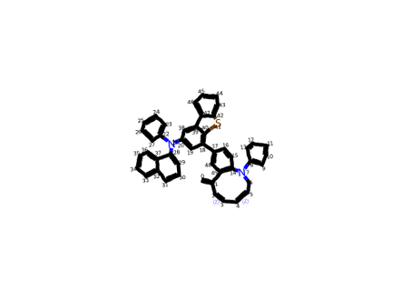 C=C1/C=C\C=C/CN(c2ccccc2)c2ccc(-c3cc(N(c4ccccc4)c4cccc5ccccc45)cc4c3sc3ccccc34)cc21